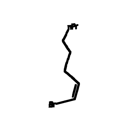 CCCCCC/C=C\Br